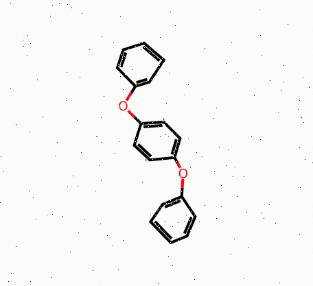 [c]1cc(Oc2ccccc2)[c]cc1Oc1ccccc1